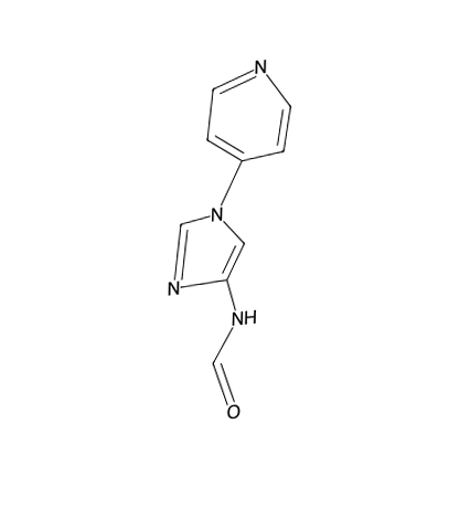 O=CNc1cn(-c2ccncc2)cn1